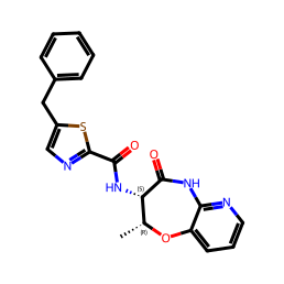 C[C@H]1Oc2cccnc2NC(=O)[C@H]1NC(=O)c1ncc(Cc2ccccc2)s1